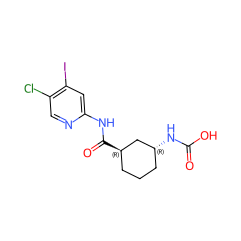 O=C(O)N[C@@H]1CCC[C@@H](C(=O)Nc2cc(I)c(Cl)cn2)C1